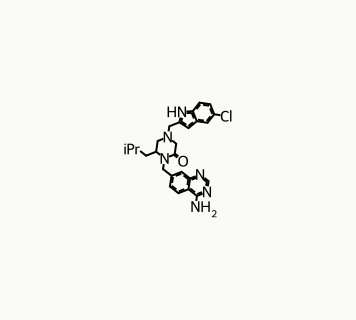 CC(C)CC1CN(Cc2cc3cc(Cl)ccc3[nH]2)CC(=O)N1Cc1ccc2c(N)ncnc2c1